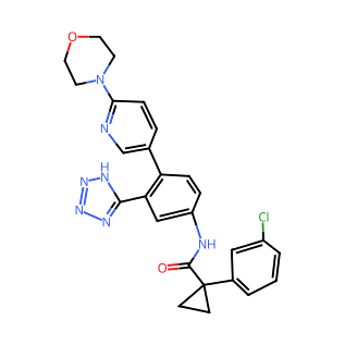 O=C(Nc1ccc(-c2ccc(N3CCOCC3)nc2)c(-c2nnn[nH]2)c1)C1(c2cccc(Cl)c2)CC1